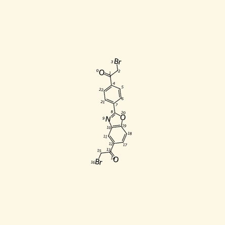 O=C(CBr)c1ccc(-c2nc3cc(C(=O)CBr)ccc3o2)cc1